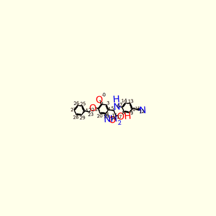 COc1cc(C(Nc2ccc(C#N)cc2)C(=O)O)c(N)cc1OCc1ccccc1